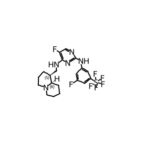 Fc1cc(Nc2ncc(F)c(NC[C@@H]3CCCN4CCCC[C@H]34)n2)cc(S(F)(F)(F)(F)F)c1